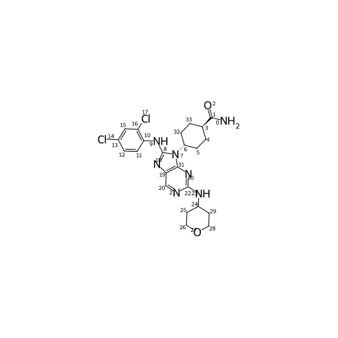 NC(=O)[C@H]1CC[C@H](n2c(Nc3ccc(Cl)cc3Cl)nc3cnc(NC4CCOCC4)nc32)CC1